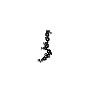 CN1CCC(NC(=O)c2cnn3ccc(-c4c[nH]c5nc(NCc6ccc(N7CCN(C)CC7)nc6)ncc45)cc23)CC1